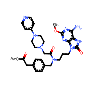 CCCCOc1nc(N)c2[nH]c(=O)n(CCCN(Cc3ccc(CC(=O)OC)cc3)C(=O)CN3CCN(c4ccncc4)CC3)c2n1